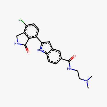 CN(C)CCNC(=O)c1ccc2[nH]c(-c3ccc(Cl)c4c3C(=O)NC4)cc2c1